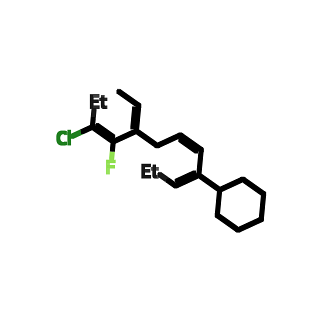 C/C=C(C/C=C\C(=C/CC)C1CCCCC1)\C(F)=C(\Cl)CC